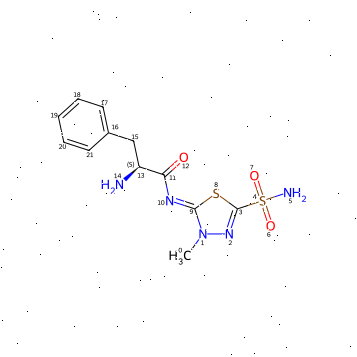 Cn1nc(S(N)(=O)=O)sc1=NC(=O)[C@@H](N)Cc1ccccc1